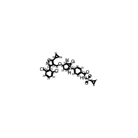 O=C(NS(=O)(=O)C1CC1)c1ccc(N2C(=O)[C@@H]3C[C@H]2C[C@H]3OCc2c(-c3c(Cl)cccc3Cl)noc2C2CC2)cc1